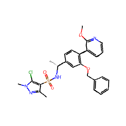 COc1ncccc1-c1ccc([C@@H](C)NS(=O)(=O)c2c(C)nn(C)c2Cl)cc1OCc1ccccc1